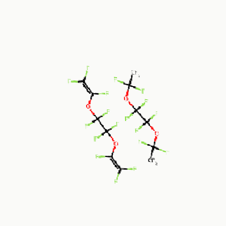 FC(F)(F)C(F)(F)OC(F)(F)C(F)(F)OC(F)(F)C(F)(F)F.FC(F)=C(F)OC(F)(F)C(F)(F)OC(F)=C(F)F